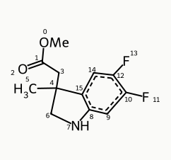 COC(=O)CC1(C)CNc2cc(F)c(F)cc21